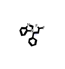 FC(F)/C=C(/c1ccccc1)n1cnc2ccccc21